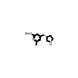 COc1cc(C[C@@H]2CCNC2)cc(C)n1